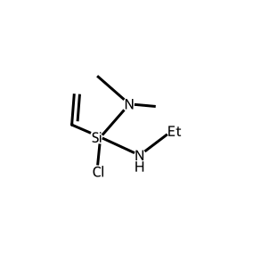 C=C[Si](Cl)(NCC)N(C)C